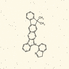 CC1(C)c2ccccc2-c2cc3cc4c5ccccc5n(-c5cccc6c5N=CC6)c4cc3cc21